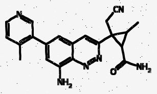 Cc1ccncc1-c1cc(N)c2nnc(C3(CC#N)C(C)C3C(N)=O)cc2c1